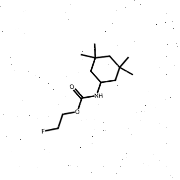 CC1(C)CC(NC(=O)OCCF)CC(C)(C)C1